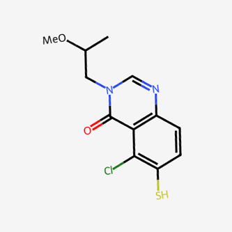 COC(C)Cn1cnc2ccc(S)c(Cl)c2c1=O